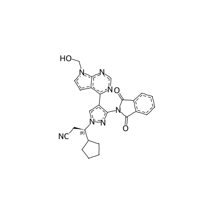 N#CC[C@H](C1CCCC1)n1cc(-c2ncnc3c2ccn3CO)c(N2C(=O)c3ccccc3C2=O)n1